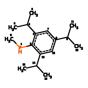 CPc1c(C(C)C)cc(C(C)C)cc1C(C)C